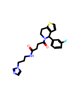 O=C(CCC(=O)N1CCc2sccc2C1c1cccc(F)c1)NCCCn1ccnc1